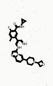 Cc1cc(F)c(C(=O)NC2CC2)cc1/C(C=N)=C/Nc1cnc2ccc(C3CCN(C4COC4)CC3)cn12